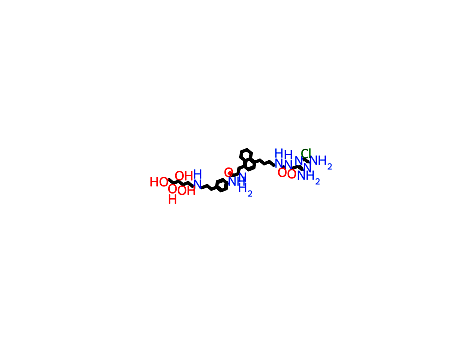 Nc1nc(N)c(C(=O)NC(=O)NCCCCc2ccc(C[C@H](N)C(=O)Nc3ccc(CCCNCC[C@@H](O)[C@H](O)[C@H](O)CO)cc3)c3c2CCCC3)nc1Cl